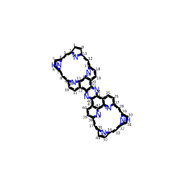 C1=Cc2cc3ccc(cc4ccc5c(n4)c4nc(ccc4c4nc6c7ccc8cc9ccc(cc%10nc(cc%11ccc(c(n%11)c7n8)c6nc54)C=C%10)[nH]9)cc1n2)[nH]3